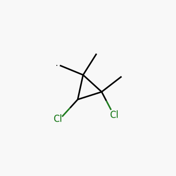 [CH2]C1(C)C(Cl)C1(C)Cl